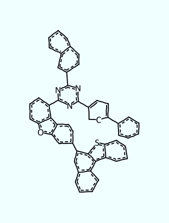 C1=C(c2ccccc2)CCC(c2nc(-c3ccc4ccccc4c3)nc(-c3cccc4oc5cc(-c6cc7ccccc7c7c6sc6ccccc67)ccc5c34)n2)=C1